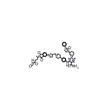 C=N/N=C(C(N)=O)\C(=N/CN1CCCC(N2CCN(c3ccccc3)C2=O)C1)Nc1ccc(C2CCN(CC3CCN(c4ccc5c(c4)C(=O)N(C(C)CCC(=O)NC=O)C5=O)C3)CC2)cc1